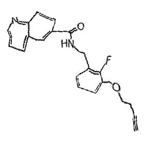 C#CCCOc1cccc(CNC(=O)c2ccc3ncccc3c2)c1F